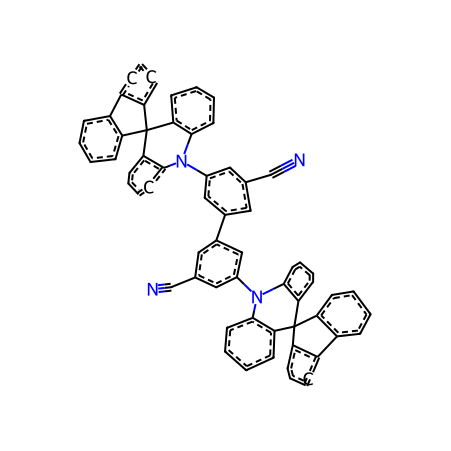 N#Cc1cc(-c2cc(C#N)cc(N3c4ccccc4C4(c5ccccc5-c5ccccc54)c4ccccc43)c2)cc(N2c3ccccc3C3(c4ccccc4-c4ccccc43)c3ccccc32)c1